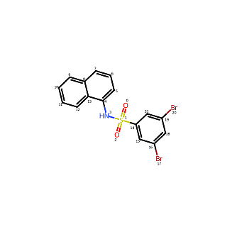 O=S(=O)(Nc1cccc2ccccc12)c1cc(Br)cc(Br)c1